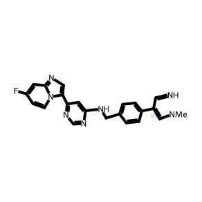 CN/C=C(\C=N)c1ccc(CNc2cc(-c3cnc4cc(F)ccn34)ncn2)cc1